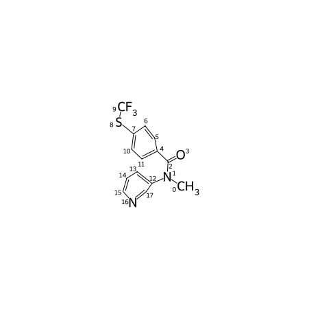 CN(C(=O)c1ccc(SC(F)(F)F)cc1)c1cccnc1